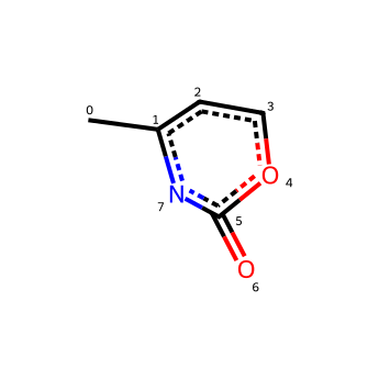 Cc1ccoc(=O)n1